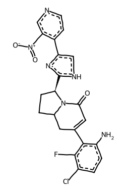 Nc1ccc(Cl)c(F)c1C1=CC(=O)N2C(CC[C@H]2c2nc(-c3ccncc3[N+](=O)[O-])c[nH]2)C1